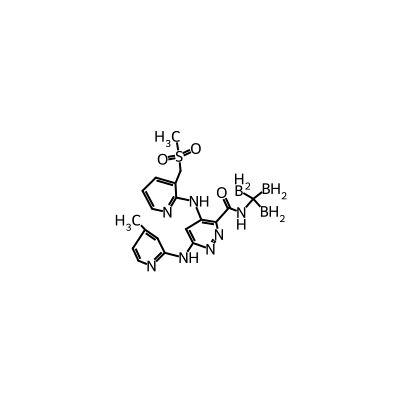 BC(B)(B)NC(=O)c1nnc(Nc2cc(C)ccn2)cc1Nc1ncccc1CS(C)(=O)=O